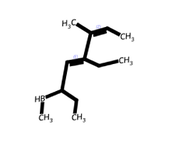 CBC(/C=C(CC)/C(C)=C\C)CC